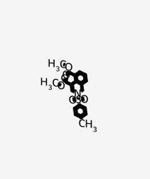 COC(=O)C1=CN(S(=O)(=O)c2ccc(C)cc2)Cc2cccc(C(=O)OC)c21